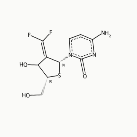 Nc1ccn([C@@H]2S[C@H](CO)C(O)C2=C(F)F)c(=O)n1